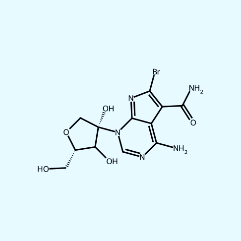 NC(=O)c1c(Br)nc2n([C@]3(O)CO[C@@H](CO)C3O)cnc(N)c1-2